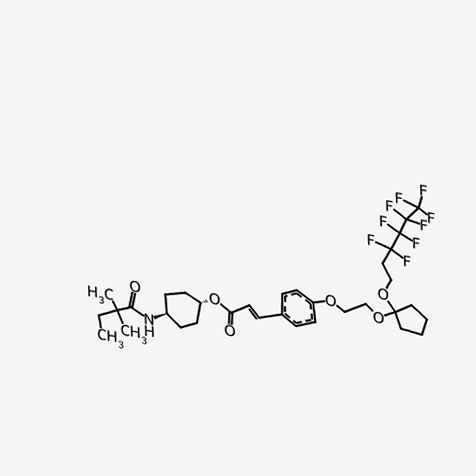 CCC(C)(C)C(=O)N[C@H]1CC[C@H](OC(=O)/C=C/c2ccc(OCCOC3(OCCC(F)(F)C(F)(F)C(F)(F)C(F)(F)F)CCCC3)cc2)CC1